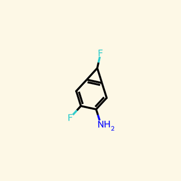 Nc1cc2c(cc1F)C2F